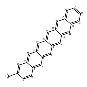 Nc1ccc2cc3cc4cc5cc6ccccc6cc5cc4cc3cc2c1